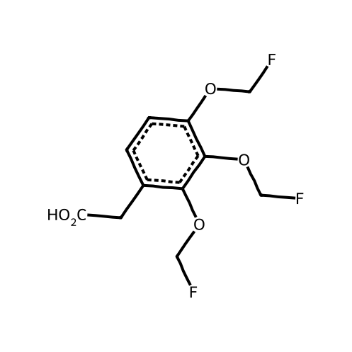 O=C(O)Cc1ccc(OCF)c(OCF)c1OCF